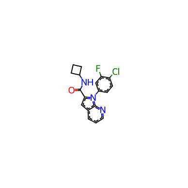 O=C(NC1CCC1)c1cc2cccnc2n1-c1ccc(Cl)c(F)c1